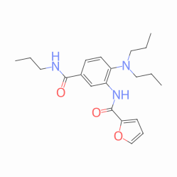 CCCNC(=O)c1ccc(N(CCC)CCC)c(NC(=O)c2ccco2)c1